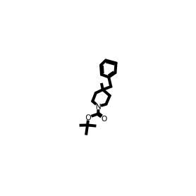 CC1(Cc2ccccc2)CCN(C(=O)OC(C)(C)C)CC1